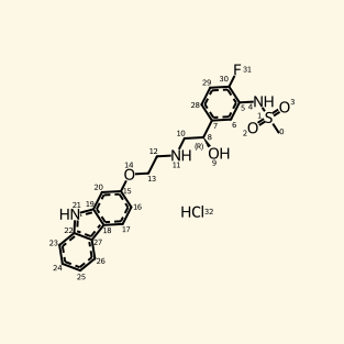 CS(=O)(=O)Nc1cc([C@@H](O)CNCCOc2ccc3c(c2)[nH]c2ccccc23)ccc1F.Cl